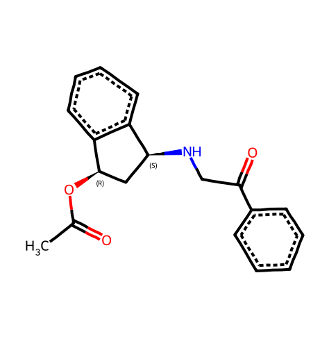 CC(=O)O[C@@H]1C[C@H](NCC(=O)c2ccccc2)c2ccccc21